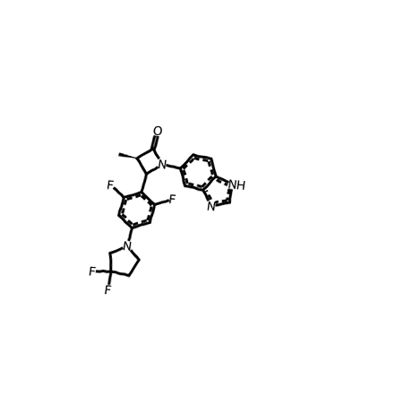 C[C@H]1C(=O)N(c2ccc3[nH]cnc3c2)C1c1c(F)cc(N2CCC(F)(F)C2)cc1F